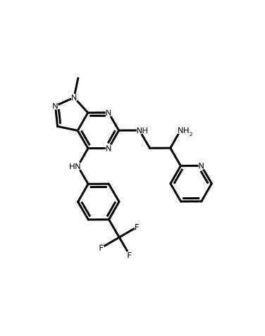 Cn1ncc2c(Nc3ccc(C(F)(F)F)cc3)nc(NCC(N)c3ccccn3)nc21